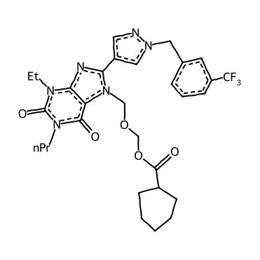 CCCn1c(=O)c2c(nc(-c3cnn(Cc4cccc(C(F)(F)F)c4)c3)n2COCOC(=O)C2CCCCC2)n(CC)c1=O